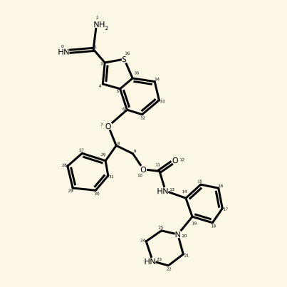 N=C(N)c1cc2c(OC(COC(=O)Nc3ccccc3N3CCNCC3)c3ccccc3)cccc2s1